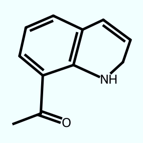 CC(=O)c1cccc2c1NCC=C2